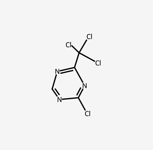 Clc1ncnc(C(Cl)(Cl)Cl)n1